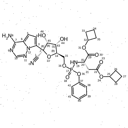 N#C[C@@]1(c2ccc3c(N)ncnn23)O[C@H](COP(=O)(N[C@@H](CC(=O)OC2CCC2)C(=O)OC2CCC2)Oc2ccccc2)[C@@H](O)[C@H]1O